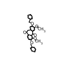 COc1cc2c(cc1OCc1ccccc1)CC(=O)c1ccc(OCc3ccccc3)c(OC)c1C2=O